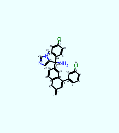 C=C1C=C(c2cccc(Cl)c2)c2cc(C(N)(c3ccc(Cl)cc3)c3cncn3C)ccc2C1